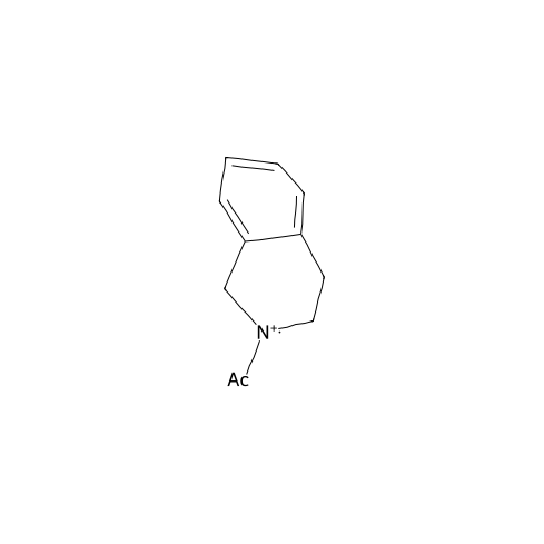 CC(=O)[N+]1CCc2ccccc2C1